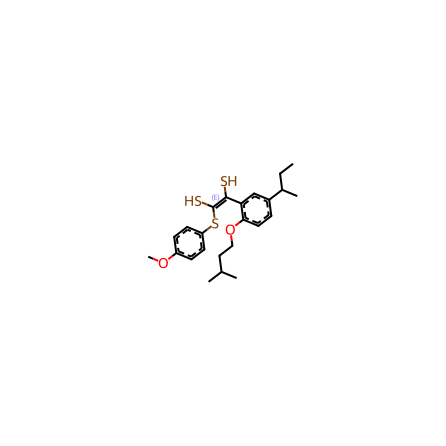 CCC(C)c1ccc(OCCC(C)C)c(/C(S)=C(/S)Sc2ccc(OC)cc2)c1